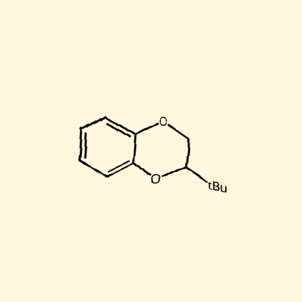 CC(C)(C)C1COc2ccccc2O1